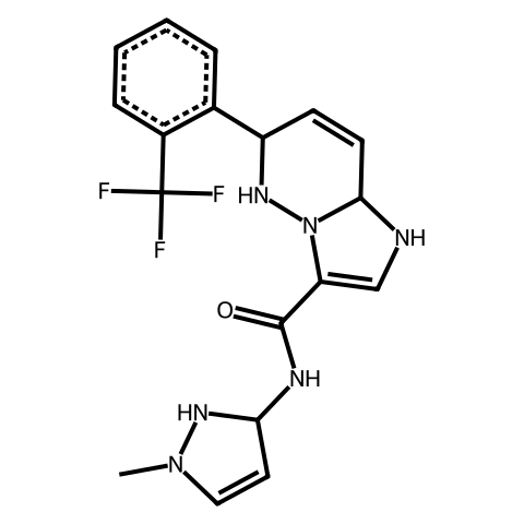 CN1C=CC(NC(=O)C2=CNC3C=CC(c4ccccc4C(F)(F)F)NN23)N1